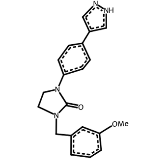 COc1cccc(CN2CCN(c3ccc(-c4cn[nH]c4)cc3)C2=O)c1